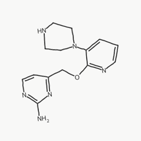 Nc1nccc(COc2ncccc2N2CCNCC2)n1